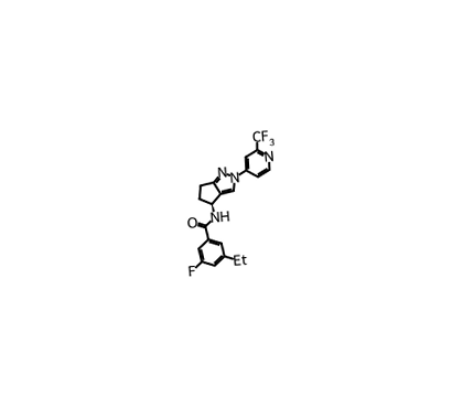 CCc1cc(F)cc(C(=O)N[C@H]2CCc3nn(-c4ccnc(C(F)(F)F)c4)cc32)c1